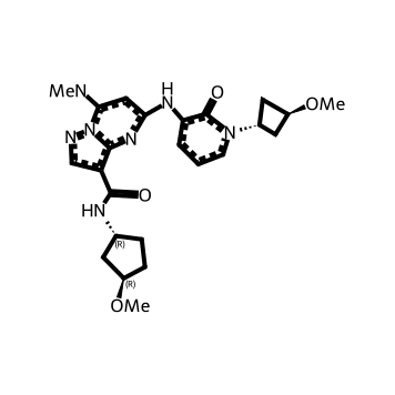 CNc1cc(Nc2cccn([C@H]3C[C@H](OC)C3)c2=O)nc2c(C(=O)N[C@@H]3CC[C@@H](OC)C3)cnn12